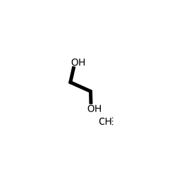 OCCO.[CH]